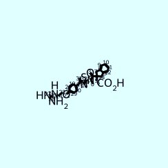 CN(C(=O)C1(CC(=O)O)Cc2ccccc2C1)c1nc(-c2ccc(OCCNC(=N)N)cc2)cs1